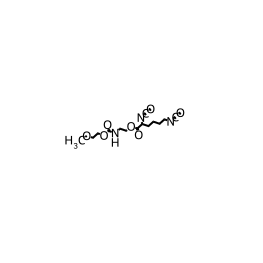 COCCOC(=O)NCCOC(=O)C(CCCCN=C=O)N=C=O